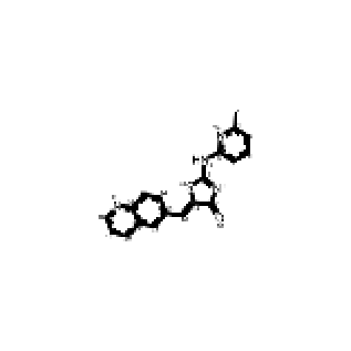 Cc1cccc(NC2=NC(=O)/C(=C/c3ccc4ncccc4c3)S2)n1